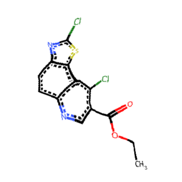 CCOC(=O)c1cnc2ccc3nc(Cl)sc3c2c1Cl